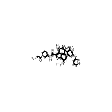 C=CC(=O)N1CCCC(NC(=O)c2sc3c(N)ccc4c3c2C(N)C(=O)C4(N)c2cnc(Oc3cccnn3)cc2C)C1